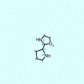 C1CNC(C2NCCO2)C1